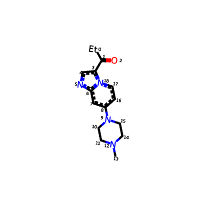 CCC(=O)c1cnc2cc(N3CCN(C)CC3)ccn12